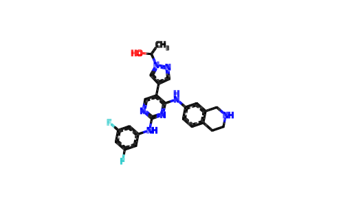 CC(O)n1cc(-c2cnc(Nc3cc(F)cc(F)c3)nc2Nc2ccc3c(c2)CNCC3)cn1